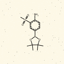 CC1(C)OB(c2ccc(N)c(S(C)(=O)=O)c2)OC1(C)C